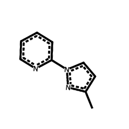 Cc1ccn(-c2ccccn2)n1